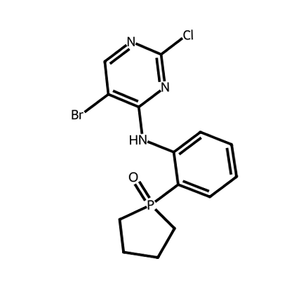 O=P1(c2ccccc2Nc2nc(Cl)ncc2Br)CCCC1